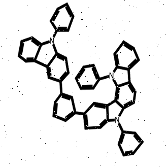 c1ccc(-n2c3ccccc3c3cc(-c4cccc(-c5ccc6c(c5)c5c(ccc7c8ccccc8n(-c8ccccc8)c75)n6-c5ccccc5)c4)ccc32)cc1